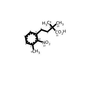 Cc1cccc(CCC(C)(C)C(=O)O)c1[N+](=O)[O-]